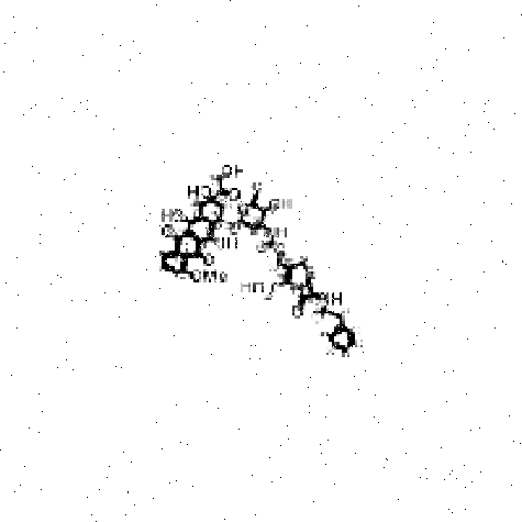 COc1cccc2c1C(=O)c1c(O)c3c(c(O)c1C2=O)C[C@@](O)(C(=O)CO)C[C@@H]3OC1CC(NC(=O)OCC2=C(C(=O)O)N3C(=O)C(NC(=O)Cc4ccccc4)C3SC2)C(O)C(C)O1